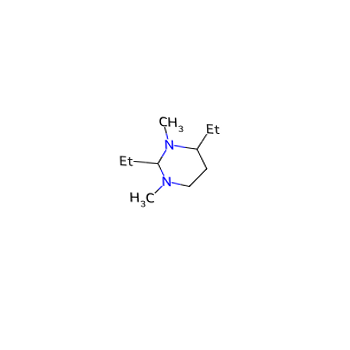 CCC1CCN(C)C(CC)N1C